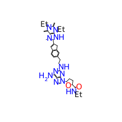 C=C1C2=C(NC(C3=Cc4ccc(CCNc5nc(N)c6ncn(C7CCC(C(=O)NCC)O7)c6n5)cc4C3)N2C)N(CC)C(=C)N1CC